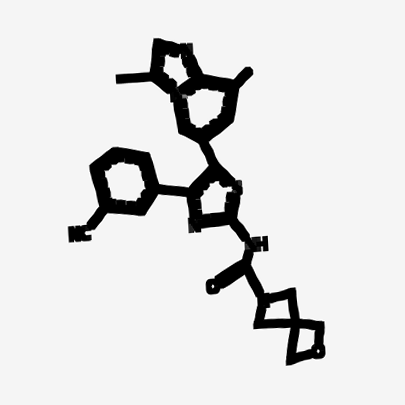 Cc1cc(-c2sc(NC(=O)N3CC4(COC4)C3)nc2-c2cccc(C#N)c2)cn2c(C)cnc12